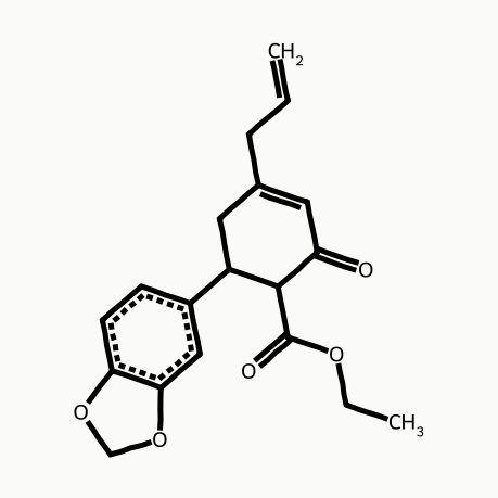 C=CCC1=CC(=O)C(C(=O)OCC)C(c2ccc3c(c2)OCO3)C1